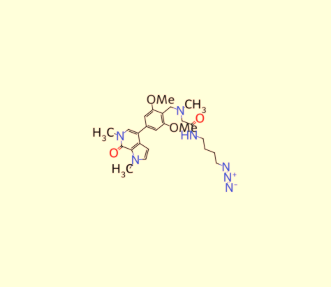 COc1cc(-c2cn(C)c(=O)c3c2ccn3C)cc(OC)c1CN(C)CC(=O)NCCCCN=[N+]=[N-]